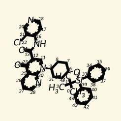 CC(C)(C)[Si](O[C@H]1CC[C@H](n2cc(C(=O)Nc3ccncc3Cl)c(=O)c3cccnc32)CC1)(c1ccccc1)c1ccccc1